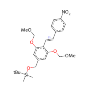 COCOc1cc(CO[Si](C)(C)C(C)(C)C)cc(OCOC)c1/C=C/c1ccc([N+](=O)[O-])cc1